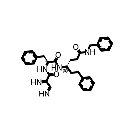 N=CC(=N)C(=O)N[C@@H](Cc1ccccc1)C(=O)N[C@H](CCC(=O)NCc1ccccc1)CCc1ccccc1